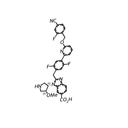 CO[C@H]1CNC[C@@H]1n1c(Cc2cc(F)c(-c3cccc(OCc4ccc(C#N)cc4F)n3)cc2F)nc2ccc(C(=O)O)cc21